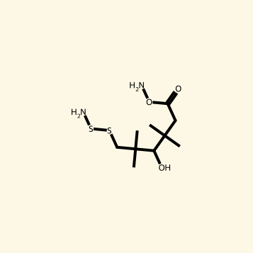 CC(C)(CSSN)C(O)C(C)(C)CC(=O)ON